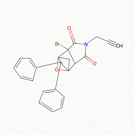 C#CCN1C(=O)C2C34CC(O3)(C(c3ccccc3)=C4c3ccccc3)C2(Br)C1=O